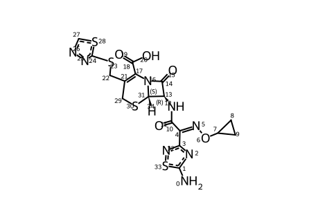 Nc1nc(C(=NOC2CC2)C(=O)N[C@@H]2C(=O)N3C(C(=O)O)=C(CSc4nncs4)CS[C@@H]23)ns1